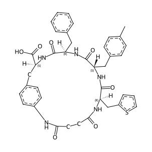 Cc1ccc(C[C@@H]2NC(=O)[C@@H](Cc3cccs3)NC(=O)CCC(=O)Nc3ccc(cc3)C[C@@H](C(=O)O)NC(=O)[C@@H](Cc3ccccc3)NC2=O)cc1